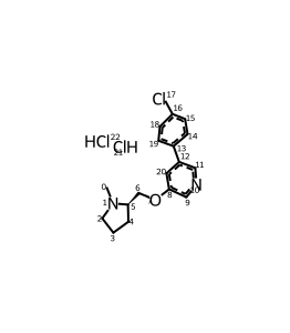 CN1CCC[C@@H]1COc1cncc(-c2ccc(Cl)cc2)c1.Cl.Cl